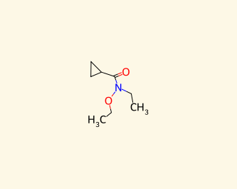 CCON(CC)C(=O)C1CC1